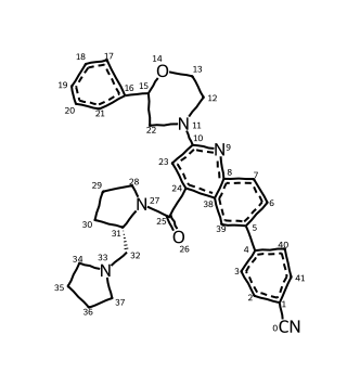 N#Cc1ccc(-c2ccc3nc(N4CCOC(c5ccccc5)C4)cc(C(=O)N4CCC[C@H]4CN4CCCC4)c3c2)cc1